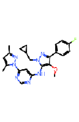 COc1c(-c2ccc(F)cc2)nn(CC2CC2)c1Nc1cc(-n2nc(C)cc2C)ncn1